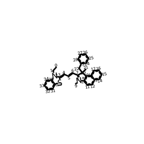 CCN1/C(=C/C=C/C2=[N+](C)c3ccc4ccccc4c3C2(C)Cc2ccccc2)Sc2ccccc21